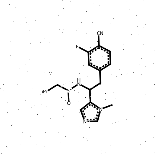 CC(C)C[S+]([O-])NC(Cc1ccc(C#N)c(F)c1)c1cncn1C